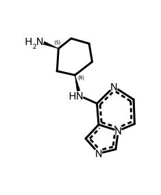 N[C@H]1CCC[C@@H](Nc2nccn3cncc23)C1